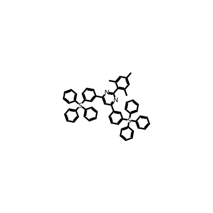 Cc1cc(C)c(-c2nc(-c3cccc(S(c4ccccc4)(c4ccccc4)c4ccccc4)c3)cc(-c3cccc(S(c4ccccc4)(c4ccccc4)c4ccccc4)c3)n2)c(C)c1